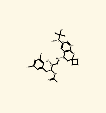 CC(=O)N[C@@H](Cc1cc(F)cc(Cl)c1)[C@@H](O)CN[C@H]1CC2(CCC2)Oc2ncc([C@H](F)C(C)(C)C)cc21